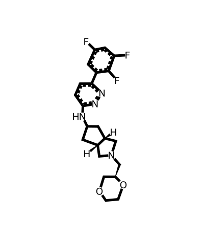 Fc1cc(F)c(F)c(-c2ccc(NC3C[C@@H]4CN(C[C@@H]5COCCO5)C[C@@H]4C3)nn2)c1